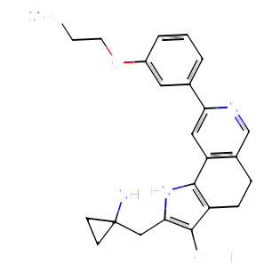 COCCOc1cccc(-c2cc3c(cn2)CCc2c-3[nH]c(CC3(N)CC3)c2C(=O)O)c1